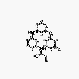 C=CC(=O)Nc1cccc(Nc2cc(Oc3cccc(C)c3)ncn2)n1